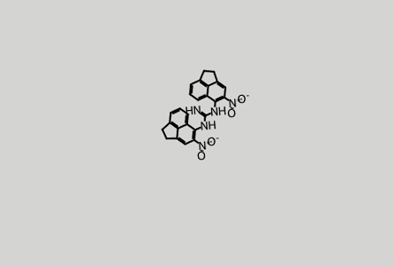 N=C(Nc1c([N+](=O)[O-])cc2c3c(cccc13)CC2)Nc1c([N+](=O)[O-])cc2c3c(cccc13)CC2